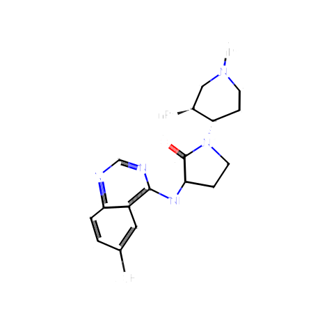 CCC[C@H]1CN(C(C)C)CC[C@@H]1N1CCC(Nc2ncnc3ccc(C(F)(F)F)cc23)C1=O